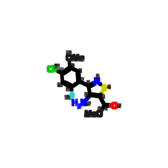 COC(=O)c1snc(-c2cc(OC)c(Cl)cc2F)c1N